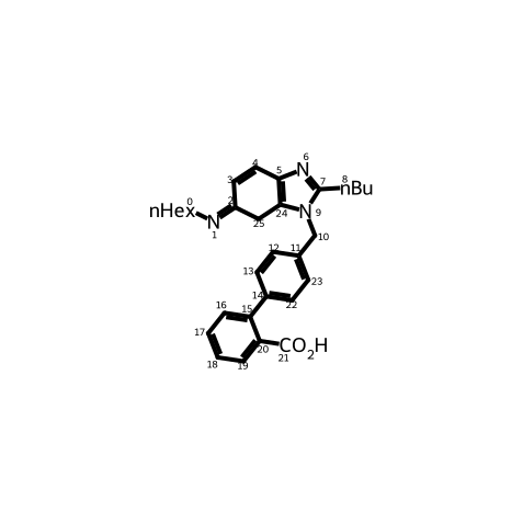 CCCCCCN=C1C=Cc2nc(CCCC)n(Cc3ccc(-c4ccccc4C(=O)O)cc3)c2C1